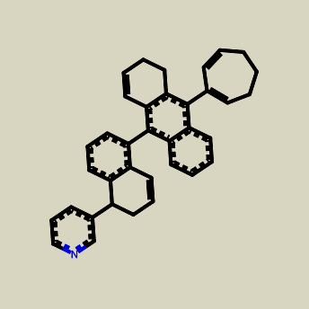 C1=CC(c2c3c(c(-c4cccc5c4C=CCC5c4cccnc4)c4ccccc24)C=CCC3)=CCCC1